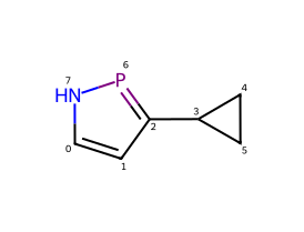 c1cc(C2CC2)p[nH]1